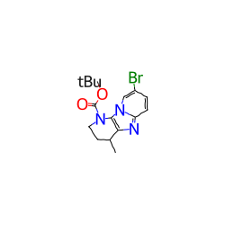 CC1CCN(C(=O)OC(C)(C)C)c2c1nc1ccc(Br)cn21